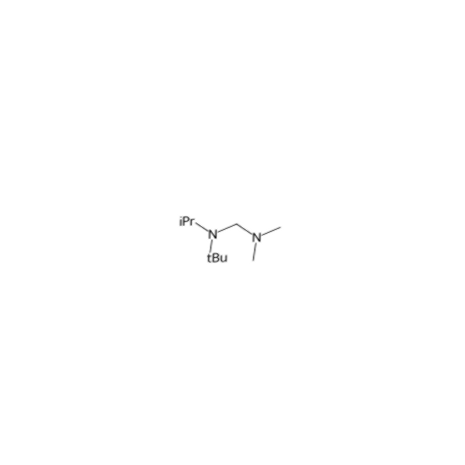 CC(C)N(CN(C)C)C(C)(C)C